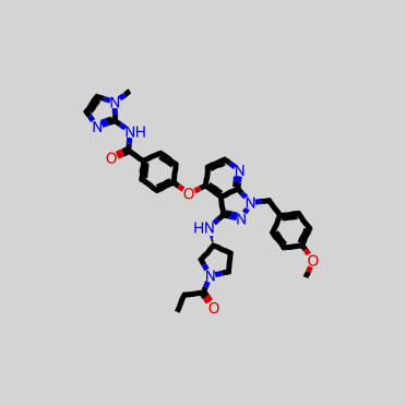 CCC(=O)N1CC[C@@H](Nc2nn(Cc3ccc(OC)cc3)c3nccc(Oc4ccc(C(=O)Nc5nccn5C)cc4)c23)C1